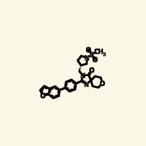 CS(=O)(=O)N1CC[C@@H](CN2C(=O)C3(CCOCC3)N=C2c2ccc(-c3ccc4occc4c3)cc2)C1